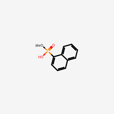 COP(=O)(O)c1cccc2ccccc12